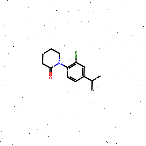 CC(C)c1ccc(N2CCCCC2=O)c(F)c1